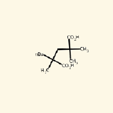 CCCCC(C)(CC(C)(C)C(=O)O)C(=O)O